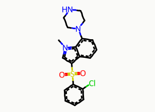 Cn1cc(S(=O)(=O)c2ccccc2Cl)c2cccc(N3CCNCC3)c21